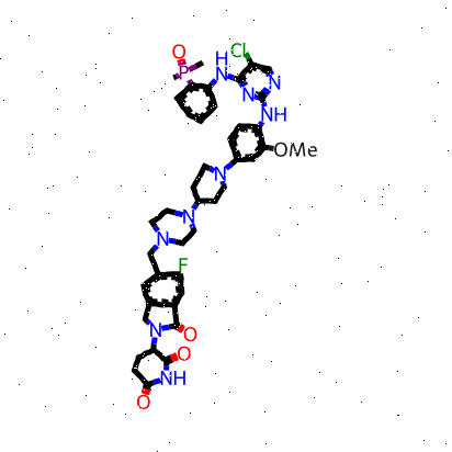 COc1cc(N2CCC(N3CCN(Cc4cc5c(cc4F)C(=O)N(C4CCC(=O)NC4=O)C5)CC3)CC2)ccc1Nc1ncc(Cl)c(Nc2ccccc2P(C)(C)=O)n1